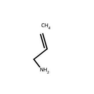 C.C=CCN